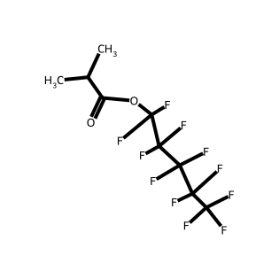 CC(C)C(=O)OC(F)(F)C(F)(F)C(F)(F)C(F)(F)C(F)(F)F